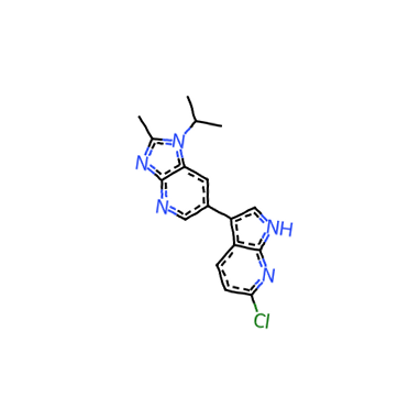 Cc1nc2ncc(-c3c[nH]c4nc(Cl)ccc34)cc2n1C(C)C